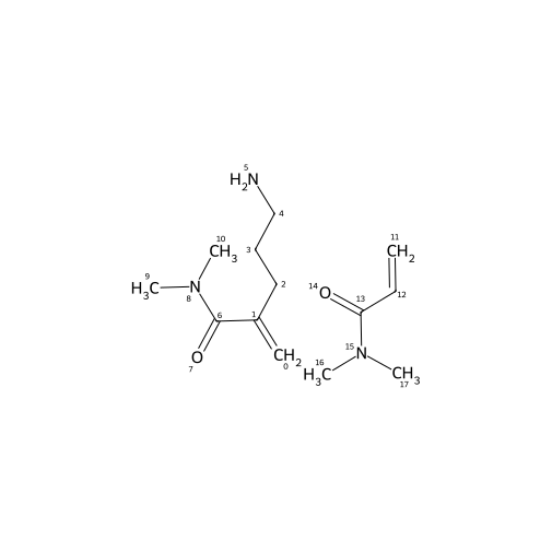 C=C(CCCN)C(=O)N(C)C.C=CC(=O)N(C)C